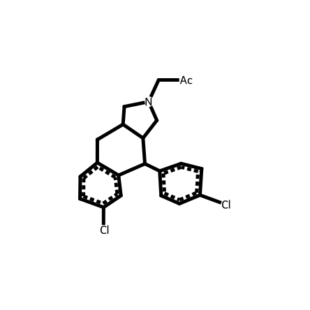 CC(=O)CN1CC2Cc3ccc(Cl)cc3C(c3ccc(Cl)cc3)C2C1